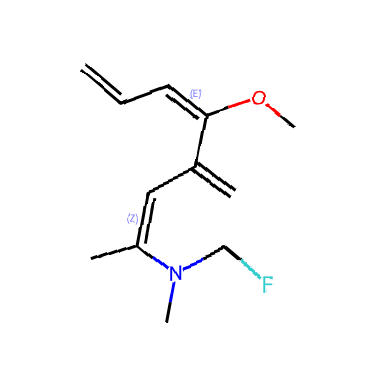 C=C/C=C(/OC)C(=C)/C=C(/C)N(C)CF